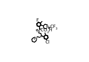 Cc1ccc(Cl)cc1[C@@H](CCN1CCCCC1)CCN(C)[C@H](C(=O)O)c1ccc(F)c(C)c1C1CCN(CC(F)(F)F)CC1